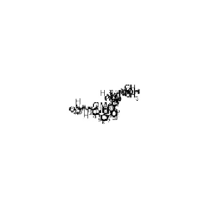 COc1nc(-c2cccc(-c3cccc(-c4cc5c(=O)n(C)c(CNCC(C)(C)O)nn5c4)c3Cl)c2Cl)ccc1CNCC1CCC(=O)N1